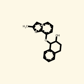 Cc1cn2cccc(OC3c4ccccc4CCC3O)c2n1